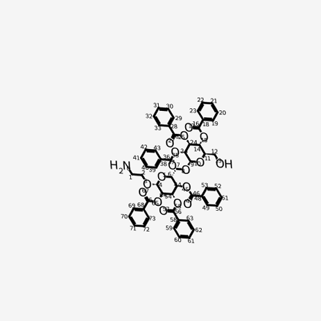 NCCO[C@@H]1O[C@H](CO[C@@H]2O[C@H](CO)[C@@H](OC(=O)c3ccccc3)[C@H](OC(=O)c3ccccc3)[C@H]2OC(=O)c2ccccc2)[C@@H](OC(=O)c2ccccc2)[C@H](OC(=O)c2ccccc2)[C@H]1OC(=O)c1ccccc1